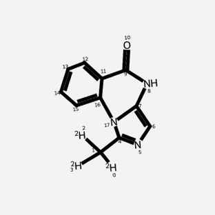 [2H]C([2H])([2H])c1ncc2[nH]c(=O)c3ccccc3n12